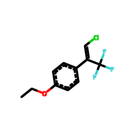 CCOc1ccc(C(=CCl)C(F)(F)F)cc1